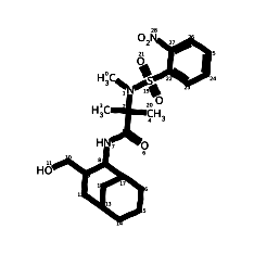 CN(C(C)(C)C(=O)NC1C(CO)CC2CCCC1C2)S(=O)(=O)c1ccccc1[N+](=O)[O-]